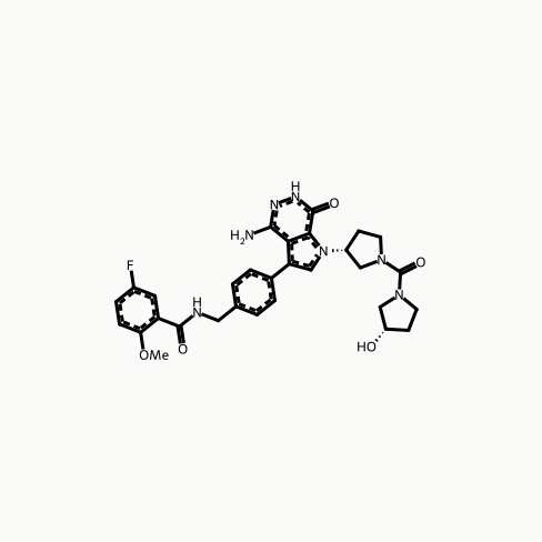 COc1ccc(F)cc1C(=O)NCc1ccc(-c2cn([C@@H]3CCN(C(=O)N4CC[C@H](O)C4)C3)c3c(=O)[nH]nc(N)c23)cc1